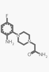 NC(=O)CN1CCN(c2cc(F)ccc2N)CC1